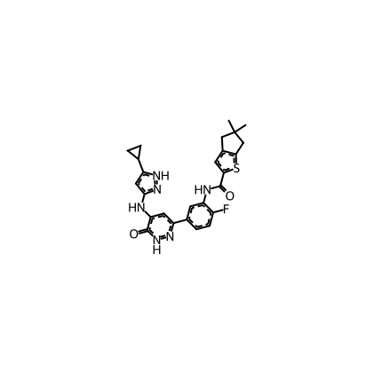 CC1(C)Cc2cc(C(=O)Nc3cc(-c4cc(Nc5cc(C6CC6)[nH]n5)c(=O)[nH]n4)ccc3F)sc2C1